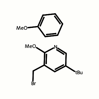 COc1ccccc1.COc1ncc(C(C)(C)C)cc1CBr